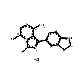 Cc1nc(-c2ccc3c(c2)CCN3)c2c(N)ncc(Cl)n12.Cl